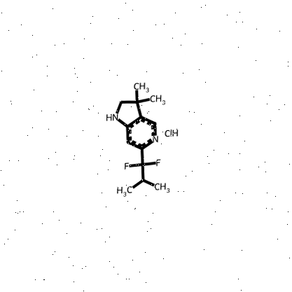 CC(C)C(F)(F)c1cc2c(cn1)C(C)(C)CN2.Cl